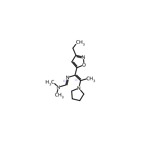 CCc1cc(C(/N=C/N(C)C)=C(\C)N2CCCC2)on1